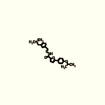 CC(C)Oc1ccc(-c2ccc(C(=O)N/N=C/c3cc(CN(C)C)cs3)o2)cc1